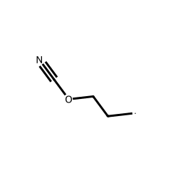 [CH2]CCOC#N